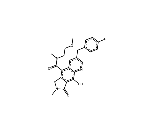 COCCN(C)C(=O)c1c2c(c(O)c3ncc(Cc4ccc(F)cc4)cc13)C(=O)N(C)C2